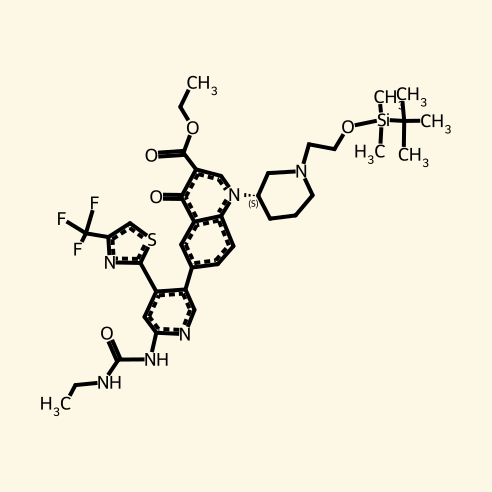 CCNC(=O)Nc1cc(-c2nc(C(F)(F)F)cs2)c(-c2ccc3c(c2)c(=O)c(C(=O)OCC)cn3[C@H]2CCCN(CCO[Si](C)(C)C(C)(C)C)C2)cn1